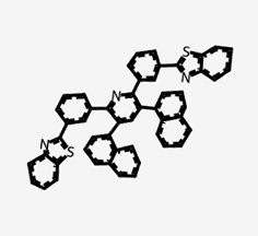 c1cc(-c2nc3ccccc3s2)cc(-c2nc(-c3cccc(-c4nc5ccccc5s4)c3)c(-c3cccc4ccccc34)cc2-c2cccc3ccccc23)c1